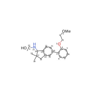 COCCOc1ccccc1-c1ccc2c(c1)CC(C)(C)C2NC(=O)O